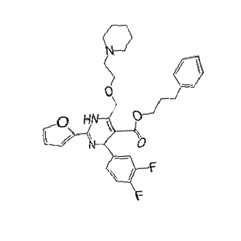 O=C(OCCCc1ccccc1)C1=C(COCCN2CCCCC2)NC(c2ccco2)=NC1c1ccc(F)c(F)c1